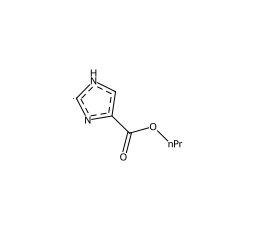 CCCOC(=O)c1c[nH][c]n1